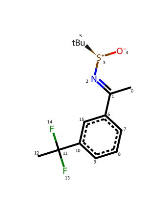 CC(=N[S@+]([O-])C(C)(C)C)c1cccc(C(C)(F)F)c1